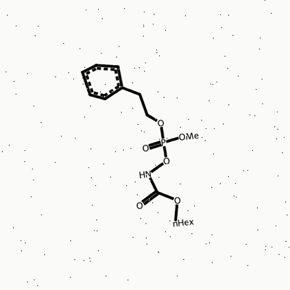 CCCCCCOC(=O)NOP(=O)(OC)OCCc1ccccc1